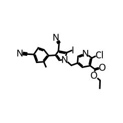 CCOC(=O)c1cc(Cn2cc(-c3ccc(C#N)cc3C)c(C#N)c2I)cnc1Cl